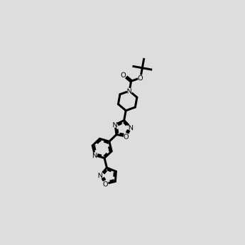 CC(C)(C)OC(=O)N1CCC(c2noc(-c3ccnc(-c4ccon4)c3)n2)CC1